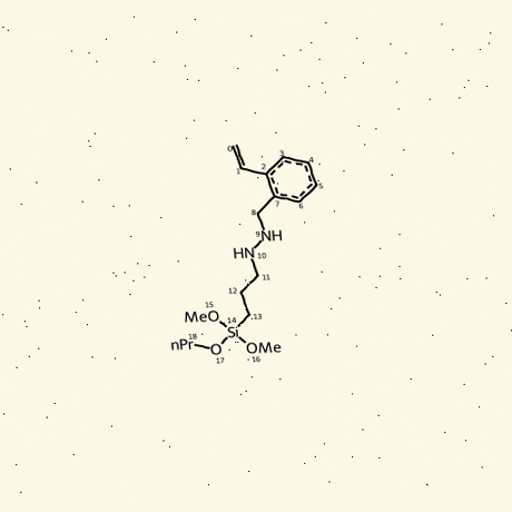 C=Cc1ccccc1CNNCCC[Si](OC)(OC)OCCC